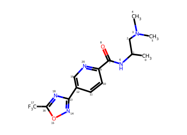 CC(CN(C)C)NC(=O)c1ccc(-c2noc(C(F)(F)F)n2)cn1